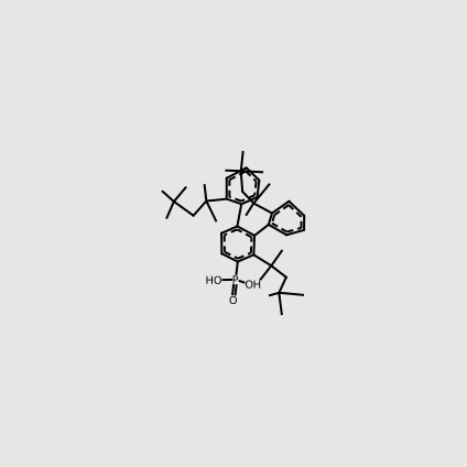 CC(C)(C)CC(C)(C)c1ccccc1-c1ccc(P(=O)(O)O)c(C(C)(C)CC(C)(C)C)c1-c1ccccc1C(C)(C)CC(C)(C)C